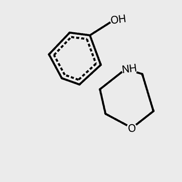 C1COCCN1.Oc1ccccc1